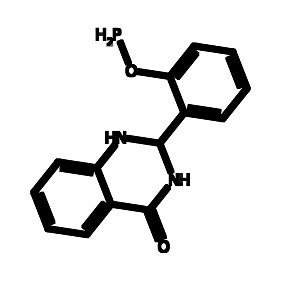 O=C1NC(c2ccccc2OP)Nc2ccccc21